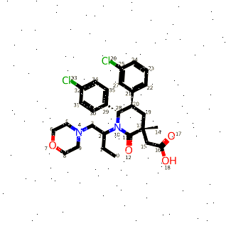 CCC(CN1CCOCC1)N1C(=O)[C@@](C)(CC(=O)O)C[C@H](c2cccc(Cl)c2)[C@H]1c1ccc(Cl)cc1